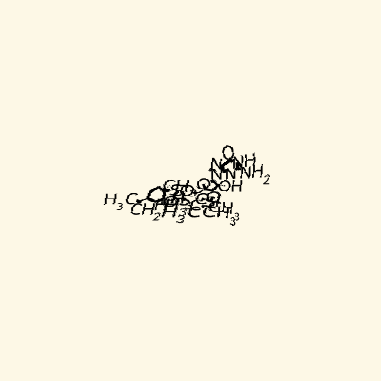 C=C(C)[C@H]1CC[C@@]2(C)SP(=S)(OC[C@H]3O[C@@H](n4cnc5c(=O)[nH]c(N)nc54)[C@H](O)[C@@H]3O[Si](C)(C)C(C)(C)C)O[C@@H]2C1